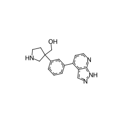 OCC1(c2cccc(-c3ccnc4[nH]ncc34)c2)CCNC1